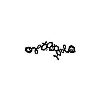 C=C(C)[C@@H]1CC[C@]2(COC(=O)C[n+]3ccccc3)CC[C@]3(C)C(CCC4[C@@]5(C)CC[C@H](OC(=O)C[n+]6ccccc6)C(C)(C)C5CC[C@]43C)C12